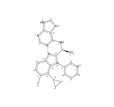 C[C@H](Nc1ncnc2[nH]cnc12)c1nc2ccc(F)c(C3CC3)c2n1-c1cccnc1